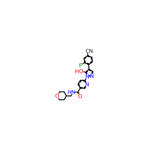 N#Cc1ccc(-c2cnn(-c3ccc(C(=O)NCC4CCOCC4)cn3)c2O)c(F)c1